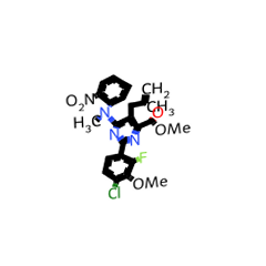 C=C(C)Cc1c(C(=O)OC)nc(-c2ccc(Cl)c(OC)c2F)nc1N(C)c1ccccc1[N+](=O)[O-]